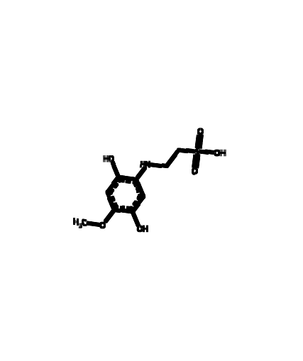 COc1cc(O)c(NCCS(=O)(=O)O)cc1O